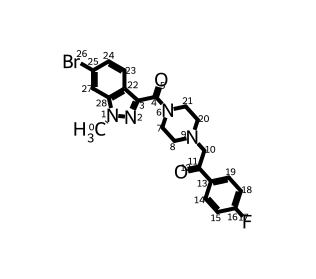 Cn1nc(C(=O)N2CCN(CC(=O)c3ccc(F)cc3)CC2)c2ccc(Br)cc21